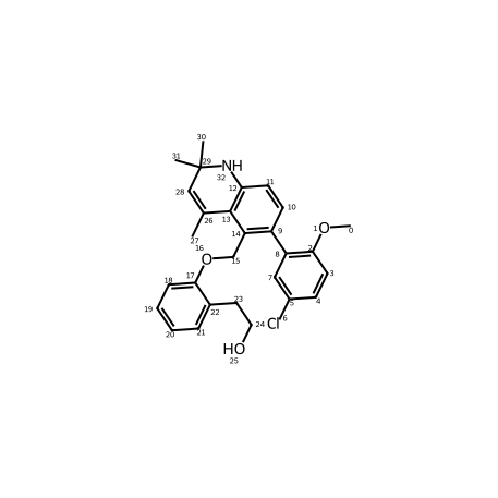 COc1ccc(Cl)cc1-c1ccc2c(c1COc1ccccc1CCO)C(C)=CC(C)(C)N2